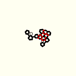 c1ccc(-c2ccccc2-n2c3ccccc3c3ccccc32)c(-c2ccccc2N(c2ccc(-c3cccc4c3oc3ccccc34)cc2)c2ccccc2-c2cccc3ccccc23)c1